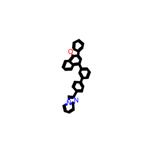 c1cc(-c2ccc(-c3cn4ccccc4n3)cc2)cc(-c2cc3c4ccccc4oc3c3ccccc23)c1